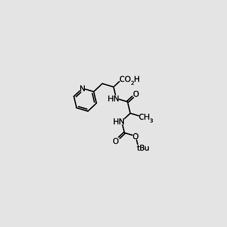 CC(NC(=O)OC(C)(C)C)C(=O)NC(Cc1ccccn1)C(=O)O